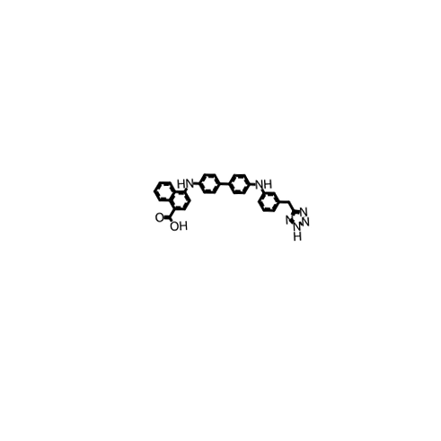 O=C(O)c1ccc(Nc2ccc(-c3ccc(Nc4cccc(Cc5nn[nH]n5)c4)cc3)cc2)c2ccccc12